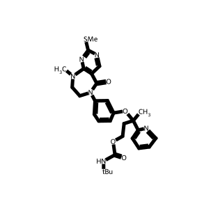 CSc1ncc2c(n1)N(C)CCN(c1cccc(OC(C)(CCOC(=O)NC(C)(C)C)c3ccccn3)c1)C2=O